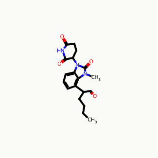 CCCCC(C=O)c1cccc2c1n(C)c(=O)n2C1CCC(=O)NC1=O